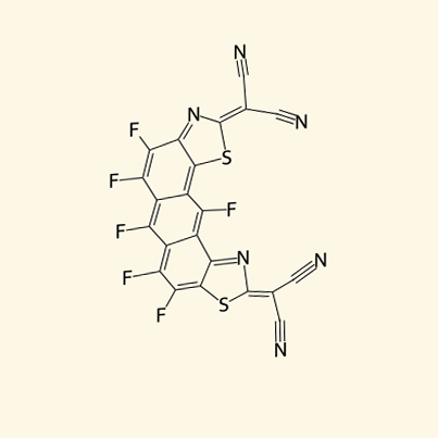 N#CC(C#N)=c1nc2c(s1)c(F)c(F)c1c(F)c3c(F)c(F)c4nc(=C(C#N)C#N)sc4c3c(F)c12